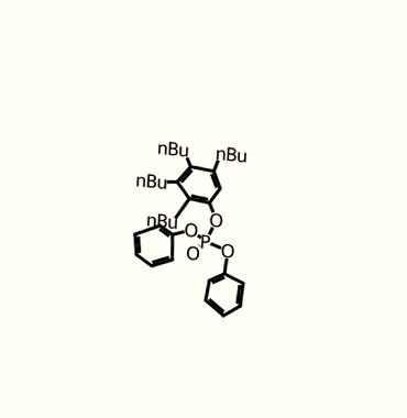 CCCCc1cc(OP(=O)(Oc2ccccc2)Oc2ccccc2)c(CCCC)c(CCCC)c1CCCC